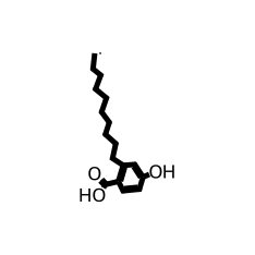 [CH2]CCCCCCCCCc1cc(O)ccc1C(=O)O